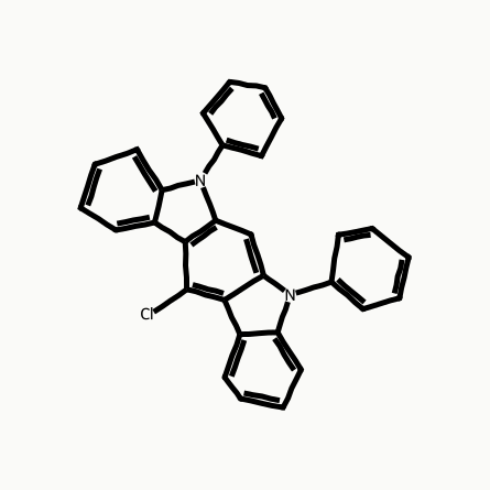 Clc1c2c3ccccc3n(-c3ccccc3)c2cc2c1c1ccccc1n2-c1ccccc1